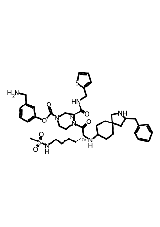 CS(=O)(=O)NCCCC[C@@H](NC1CCC2(CC1)CNC(Cc1ccccc1)C2)C(=O)N1CCN(C(=O)Oc2cccc(CN)c2)C[C@H]1C(=O)NCc1cccs1